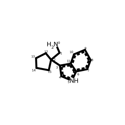 NCC1(c2c[nH]c3ccccc23)CCCC1